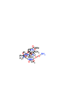 CC[C@H](C)[C@@H]([C@@H](CC(=O)N1CCC[C@H]1[C@H](OC)[C@@H](C)C(=O)NC(Cc1ccccc1)C(=O)OC)OC)N(C)C(=O)[C@@H](NC(=O)[C@H](C(C)C)N(C)C(=O)CCCNC(=O)C(C)NC(=O)CCOCCOCCN)C(C)C